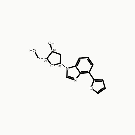 OC[C@H]1O[C@@H](n2cnc3c(-c4ccco4)cccc32)C[C@@H]1O